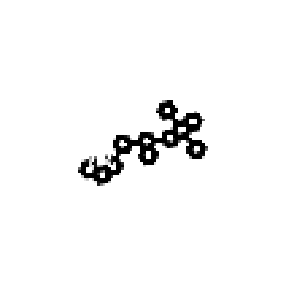 c1ccc(-c2c3ccccc3c(-c3ccccc3)c3cc(-c4ccc(-c5cccc(-c6ccc7ccc8cccnc8c7n6)c5)c5ccccc45)ccc23)cc1